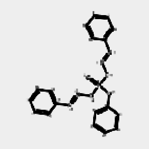 O=P(ON=Nc1ccccc1)(ON=Nc1ccccc1)Oc1ccccc1